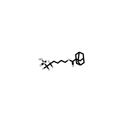 O=C(OCCCCC(F)(F)C(F)(F)S(=O)(=O)O)C12CC3CC(CC(C3)C1)C2